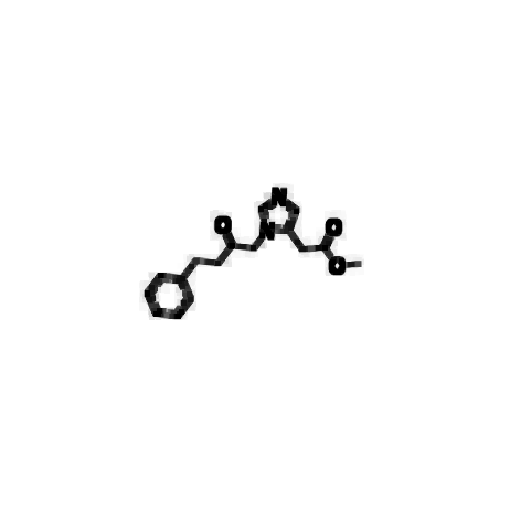 COC(=O)Cc1cncn1CC(=O)CCc1ccccc1